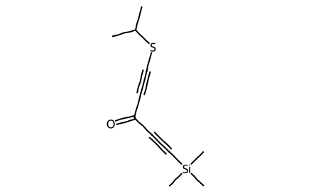 CC(C)SC#CC(=O)C#C[Si](C)(C)C